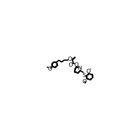 C=C(OCCCCc1ccc(OC)cc1)C(=O)Oc1cccc(CSc2c(OC)cccc2OC)n1